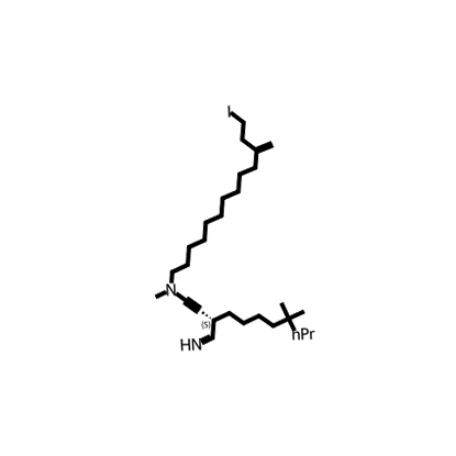 C=C(CCI)CCCCCCCCCCN(C)C#C[C@@H](C=N)CCCCC(C)(C)CCC